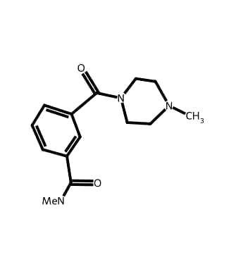 CNC(=O)c1cccc(C(=O)N2CCN(C)CC2)c1